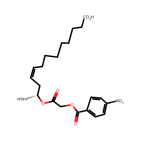 CCCCCC[C@H](C/C=C\CCCCCCCC(=O)O)OC(=O)COC(=O)c1ccc([N+](=O)[O-])cc1